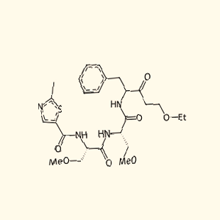 CCOCCC(=O)C(Cc1ccccc1)NC(=O)[C@H](COC)NC(=O)[C@H](COC)NC(=O)c1cnc(C)s1